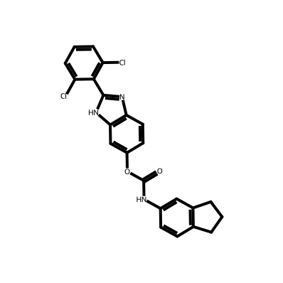 O=C(Nc1ccc2c(c1)CCC2)Oc1ccc2nc(-c3c(Cl)cccc3Cl)[nH]c2c1